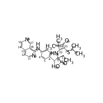 CC[C@@](Cc1ccc(Nc2nccc3ccncc23)cc1)(NC1=C(SC(C)C)C(=O)C1(C)C)C(=O)O